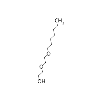 CCCCCCCOCCOCCO